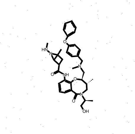 CNN1C2C(C(=O)Nc3cccc4c3O[C@@H](CN(C)Cc3ccc(Oc5ccccc5)cc3)[C@H](C)CN([C@@H](C)CO)C4=O)CC21C